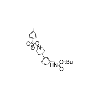 Cc1ccc(S(=O)(=O)ON2CCC(c3cccc(CNC(=O)OC(C)(C)C)c3)CC2)cc1